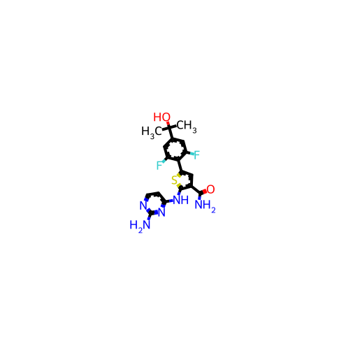 CC(C)(O)c1cc(F)c(-c2cc(C(N)=O)c(Nc3ccnc(N)n3)s2)c(F)c1